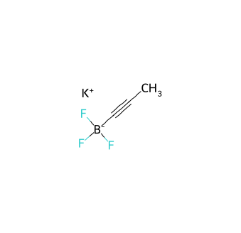 CC#C[B-](F)(F)F.[K+]